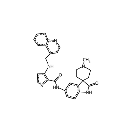 CN1CCC2(CC1)C(=O)Nc1ccc(NC(=O)c3sccc3NCc3ccnc4ccccc34)cc12